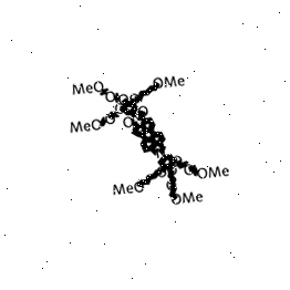 COCCCCCOc1cc(N2Cc3ccc4c5ccc6c7c(ccc(c8ccc(c3c48)C2)c75)C(=O)N(c2cc(OCCCCCOC)c(OCCOCCOC)c(OCCOCCOC)c2)C6=O)cc(OCCOCCOC)c1OCCOCCOC